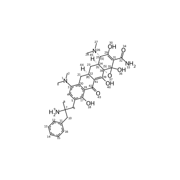 CN(C)c1cc(CC(C)(N)Cc2ccccc2)c(O)c2c1C[C@H]1C[C@H]3[C@H](N(C)C)C(O)=C(C(N)=O)C4(O)O[C@]34C(O)=C1C2=O